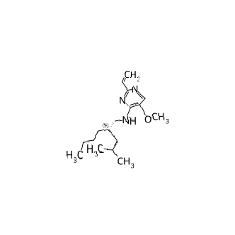 C=Cc1ncc(OC)c(NC[C@@H](CCCC)CC(C)C)n1